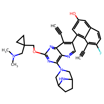 C#Cc1c(-c2cc(O)cc3ccc(F)c(C#C)c23)cnc2c(N3CC4CCC(C3)N4)nc(OCC3(CN(C)C)CC3)nc12